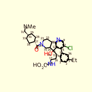 CCc1cccc(-c2c(Cl)cncc2C(O)(CCCNC(=O)O)C2CCCN(C(=O)[C@H]3CC[C@H](CNC)CC3)C2)c1